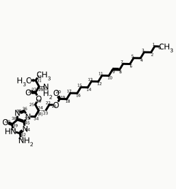 CCCCCCCCC=CCCCCCCCCCC(=O)OCC[C@@H](COC(=O)[C@@H](N)C(C)C)Cn1cnc2c(=O)[nH]c(N)nc21